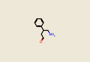 NCC(C[C]=O)c1ccccc1